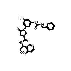 O=C(O)CC(NC(=O)C1CC(=O)N(c2cc(NC(=O)NCc3ccccc3)cc(C(F)(F)F)c2)C1)c1cccnc1